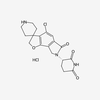 Cl.O=C1CC[C@H](N2Cc3c(cc(Cl)c4c3OCC43CCNCC3)C2=O)C(=O)N1